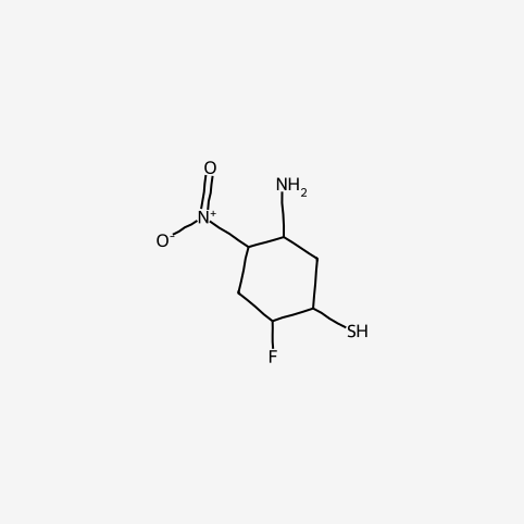 NC1CC(S)C(F)CC1[N+](=O)[O-]